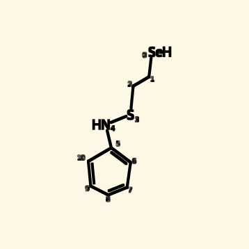 [SeH]CCSNc1ccccc1